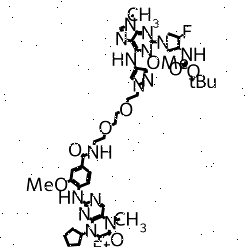 CC[C@@H]1C(=O)N(C)c2cnc(Nc3ccc(C(=O)NCCOCCOCCn4cc(Nc5nc(N6C[C@@H](F)[C@H](NC(=O)OC(C)(C)C)C6)nc6c5ncn6C)c(OC)n4)cc3OC)nc2N1C1CCCC1